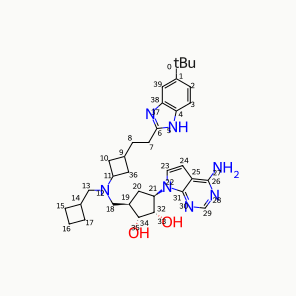 CC(C)(C)c1ccc2[nH]c(CCC3CC(N(CC4CCC4)C[C@H]4C[C@@H](n5ccc6c(N)ncnc65)[C@H](O)[C@@H]4O)C3)nc2c1